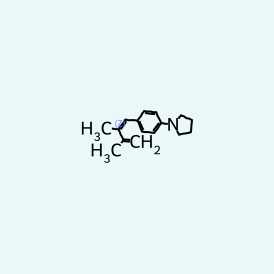 C=C(C)/C(C)=C\c1ccc(N2CCCC2)cc1